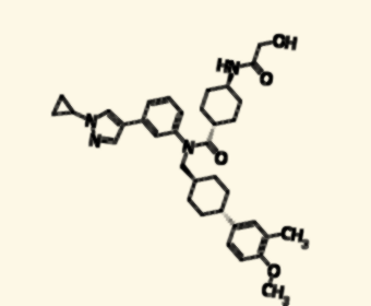 COc1ccc([C@H]2CC[C@H](CN(c3cccc(-c4cnn(C5CC5)c4)c3)C(=O)[C@H]3CC[C@H](NC(=O)CO)CC3)CC2)cc1C